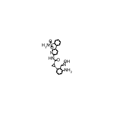 Nc1cccc([C@H]2C[C@H]2C(=O)Nc2ccc(-c3ccccc3S(N)(=O)=O)cn2)c1C=NO